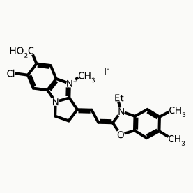 CCN1C(=CC=C2CCn3c2[n+](C)c2cc(C(=O)O)c(Cl)cc23)Oc2cc(C)c(C)cc21.[I-]